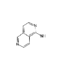 [NH]c1nccc2cnccc12